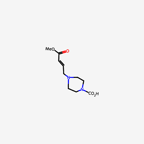 COC(=O)C=CCN1CCN(C(=O)O)CC1